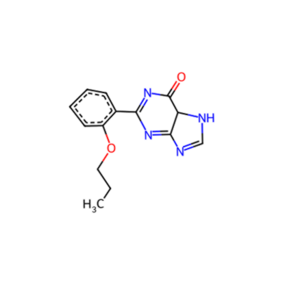 CCCOc1ccccc1C1=NC(=O)C2NC=NC2=N1